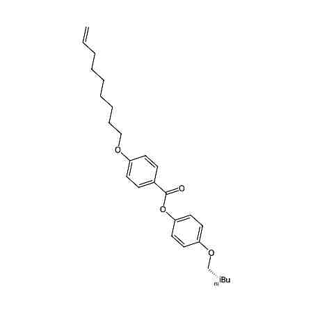 C=CCCCCCCCOc1ccc(C(=O)Oc2ccc(OC[C@@H](C)CC)cc2)cc1